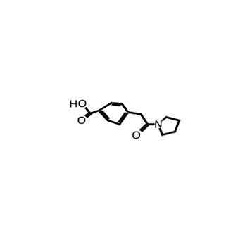 O=C(O)c1ccc(CC(=O)N2CCCC2)cc1